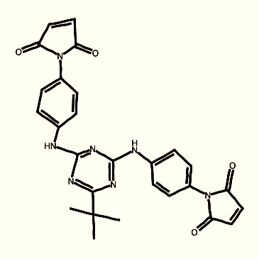 CC(C)(C)c1nc(Nc2ccc(N3C(=O)C=CC3=O)cc2)nc(Nc2ccc(N3C(=O)C=CC3=O)cc2)n1